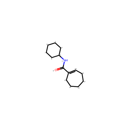 O=C(NC1CCCCC1)C1=CCCCCC1